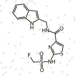 O=C(NCc1cc2ccccc2[nH]1)c1csc(NS(=O)(=O)CF)n1